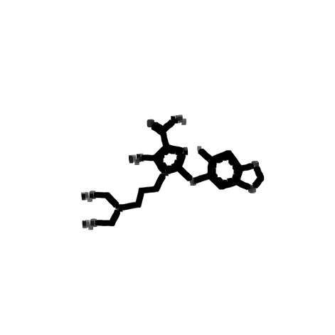 CCN(CC)CCCn1c(Sc2cc3c(cc2I)OCO3)nc(C(N)=O)c1N